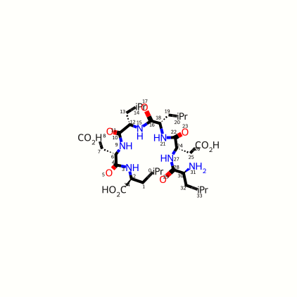 CC(C)C[C@H](NC(=O)[C@H](CC(=O)O)NC(=O)[C@H](CC(C)C)NC(=O)[C@H](CC(C)C)NC(=O)[C@H](CC(=O)O)NC(=O)[C@@H](N)CC(C)C)C(=O)O